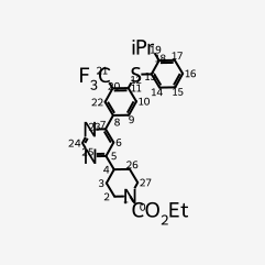 CCOC(=O)N1CCC(c2cc(-c3ccc(Sc4ccccc4C(C)C)c(C(F)(F)F)c3)ncn2)CC1